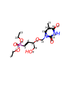 CCOP(=O)(/C=C/[C@H](CO)OCn1cc(C)c(=O)[nH]c1=O)OCC